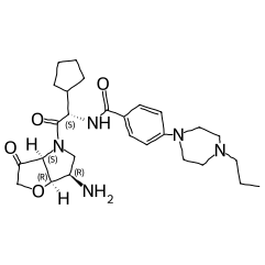 CCCN1CCN(c2ccc(C(=O)N[C@H](C(=O)N3C[C@@H](N)[C@H]4OCC(=O)[C@H]43)C3CCCC3)cc2)CC1